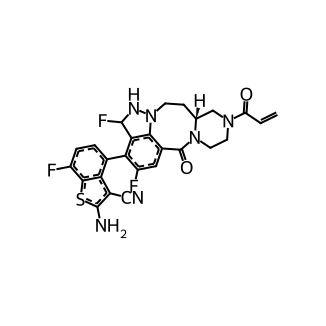 C=CC(=O)N1CCN2C(=O)c3cc(F)c(-c4ccc(F)c5sc(N)c(C#N)c45)c4c3N(CC[C@@H]2C1)NC4F